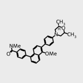 CNC(=O)c1ccc(-c2cccc3c(OC)c(-c4ccc(N5CC(C)O[C@H](C)C5)cc4)ccc23)cc1